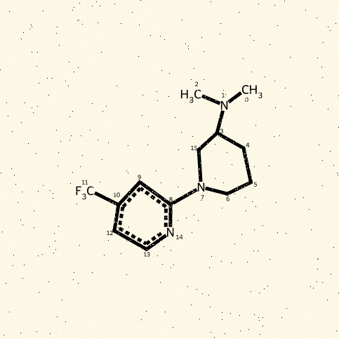 CN(C)C1CCCN(c2cc(C(F)(F)F)ccn2)C1